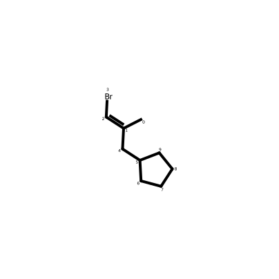 C/C(=C\Br)CC1CCCC1